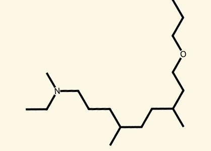 CCCOCCC(C)CCC(C)CCCN(C)CC